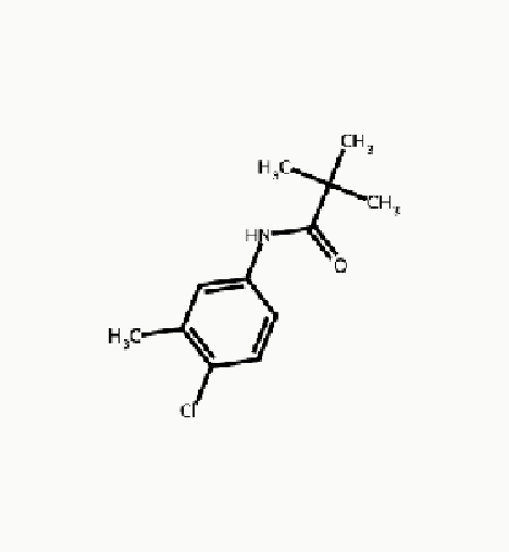 Cc1cc(NC(=O)C(C)(C)C)ccc1Cl